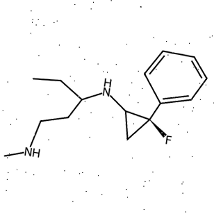 CCC(CCNC)NC1C[C@@]1(F)c1ccccc1